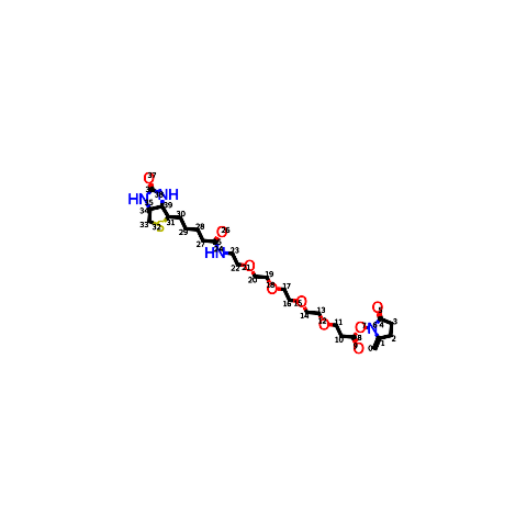 C=C1CCC(=O)N1OC(=O)CCOCCOCCOCCOCCNC(=O)CCCCC1SCC2NC(=O)NC21